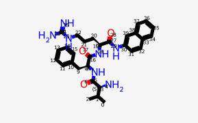 CC(C)[C@H](N)C(=O)N[C@@H](Cc1ccccc1)C(=O)N[C@@H](CCCNC(=N)N)C(=O)Nc1ccc2ccccc2c1